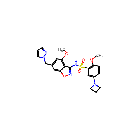 COc1ccc(N2CCC2)cc1S(=O)(=O)Nc1noc2cc(Cn3cccn3)cc(OC)c12